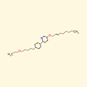 CCCCCC/C=C/COc1ccc(-c2ccc(CCCCCOCCC)cc2)nc1